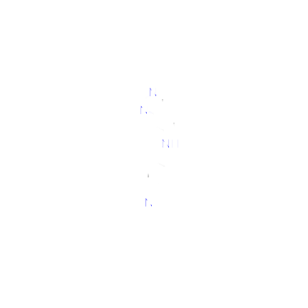 c1ncc2ccc(NCc3ccc(CN4CCCCC4)cc3)cc2n1